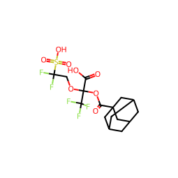 O=C(OC(OCC(F)(F)S(=O)(=O)O)(C(=O)O)C(F)(F)F)C12CC3CC(CC(C3)C1)C2